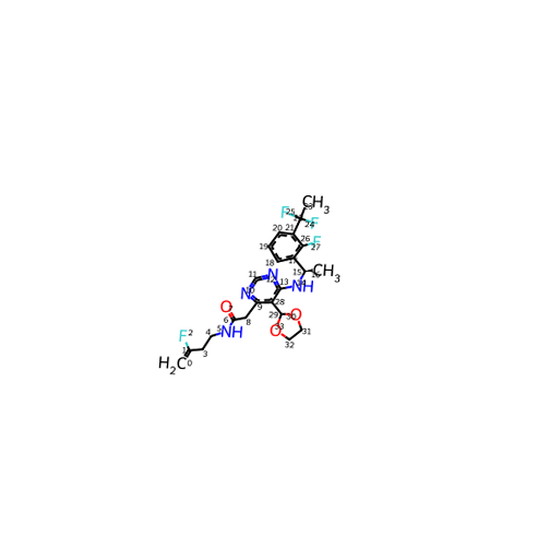 C=C(F)CCNC(=O)Cc1ncnc(N[C@H](C)c2cccc(C(C)(F)F)c2F)c1C1OCCO1